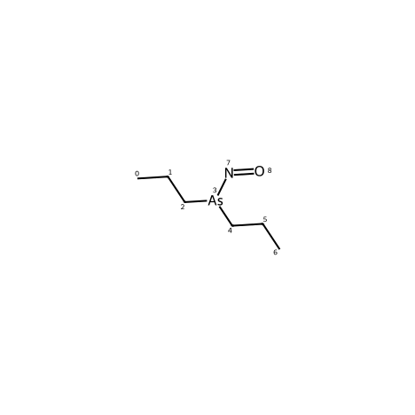 CCC[As](CCC)N=O